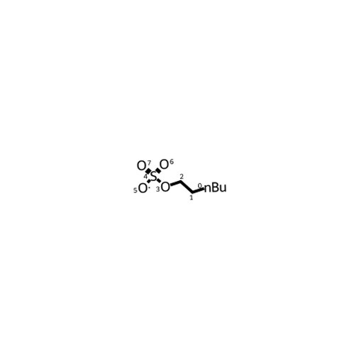 CCCCCCOS([O])(=O)=O